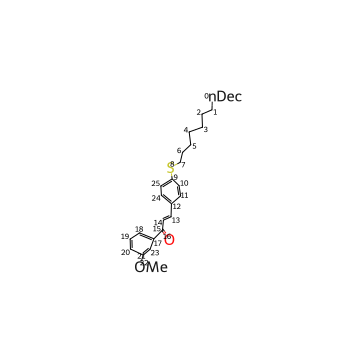 CCCCCCCCCCCCCCCCCSc1ccc(/C=C/C(=O)c2cccc(OC)c2)cc1